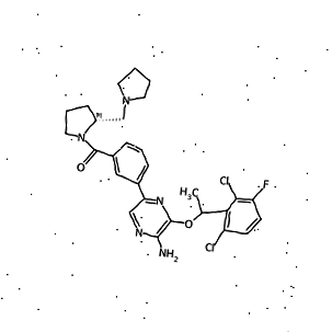 CC(Oc1nc(-c2cccc(C(=O)N3CCC[C@@H]3CN3CCCC3)c2)cnc1N)c1c(Cl)ccc(F)c1Cl